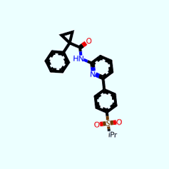 CC(C)S(=O)(=O)c1ccc(-c2cccc(NC(=O)C3(c4ccccc4)CC3)n2)cc1